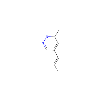 C/C=C/c1cnnc(C)c1